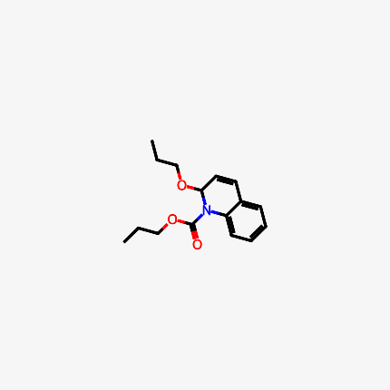 CCCOC(=O)N1c2ccccc2C=CC1OCCC